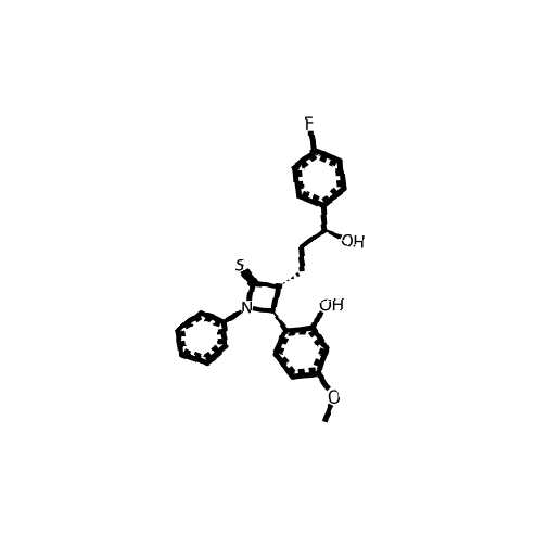 COc1ccc([C@@H]2[C@@H](CC[C@H](O)c3ccc(F)cc3)C(=S)N2c2ccccc2)c(O)c1